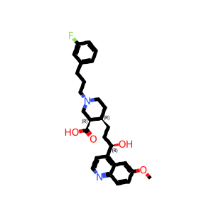 COc1ccc2nccc([C@H](O)CC[C@@H]3CCN(CCCc4cccc(F)c4)C[C@@H]3C(=O)O)c2c1